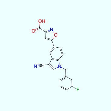 N#Cc1cn(Cc2cccc(F)c2)c2ccc(-c3cc(C(=O)O)no3)cc12